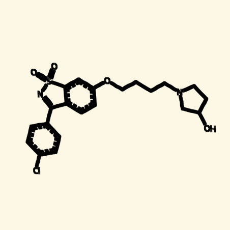 O=S1(=O)N=C(c2ccc(Cl)cc2)c2ccc(OCCCCN3CCC(O)C3)cc21